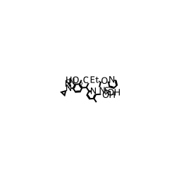 CC[C@@H]1CN(Cc2nc(C(CC(=O)O)c3ccc4c(nnn4C4CC4)c3C)ccc2C)S(O)(O)c2cccnc2O1